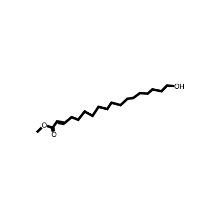 COC(=O)C=CCCCCCCCCCCCCCCCO